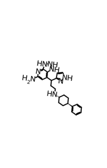 Nc1cc(C(CCN[C@H]2CC[C@H](c3ccccc3)CC2)c2cc[nH]n2)c2c(n1)NNN2